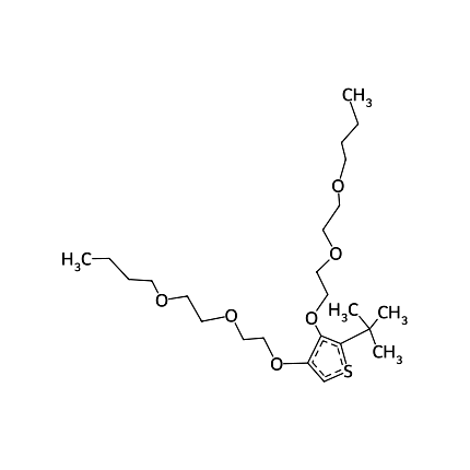 CCCCOCCOCCOc1csc(C(C)(C)C)c1OCCOCCOCCCC